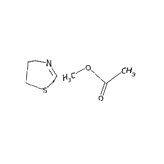 C1=NCCS1.COC(C)=O